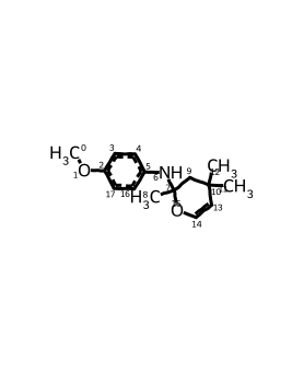 COc1ccc(NC2(C)CC(C)(C)C=CO2)cc1